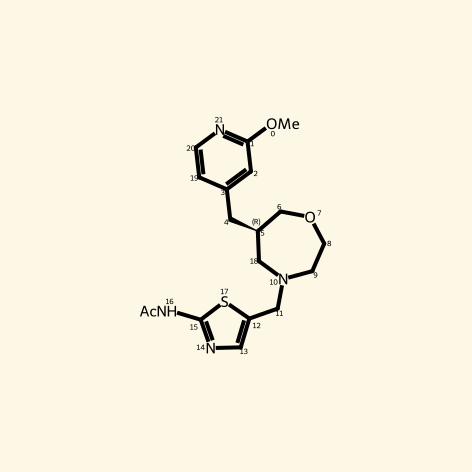 COc1cc(C[C@H]2COCCN(Cc3cnc(NC(C)=O)s3)C2)ccn1